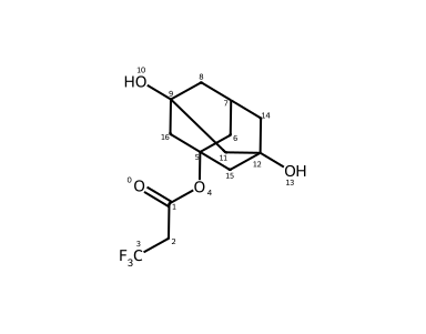 O=C(CC(F)(F)F)OC12CC3CC(O)(CC(O)(C3)C1)C2